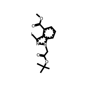 COC(=O)c1cccc2c1c(I)nn2CC(=O)OC(C)(C)C